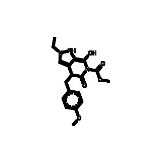 CCN1C=C2C(=C(O)N(C(=O)OC)C(=O)C2Cc2ccc(OC)cc2)N1